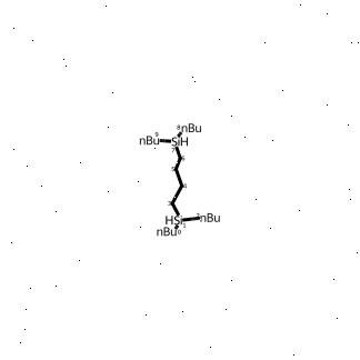 CCCC[SiH](CCCC)CCCC[SiH](CCCC)CCCC